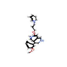 COc1cccc(C2CNCc3cc(OCCCN4CCCCC4)ncc32)c1